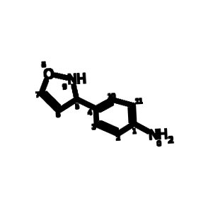 Nc1ccc(C2C=CON2)cc1